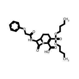 CCCCOP(=O)(OCCCC)C1=C(C(=O)O)N2C(=O)C(NC(=O)COc3ccccc3)C2CC1